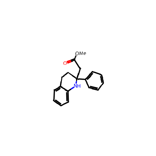 COC(=O)CC1(c2ccccc2)CCc2ccccc2N1